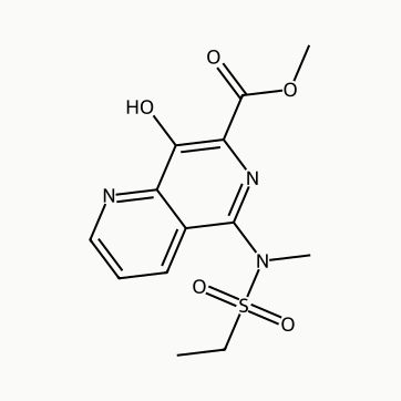 CCS(=O)(=O)N(C)c1nc(C(=O)OC)c(O)c2ncccc12